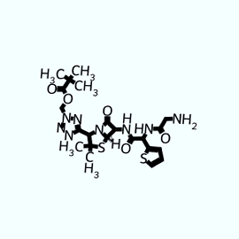 CC(C)(C)C(=O)OCn1nnc(C2N3C(=O)C(NC(=O)C(NC(=O)CN)c4cccs4)[C@H]3SC2(C)C)n1